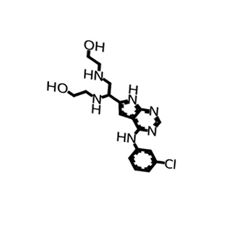 OCCNCC(NCCO)c1cc2c(Nc3cccc(Cl)c3)ncnc2[nH]1